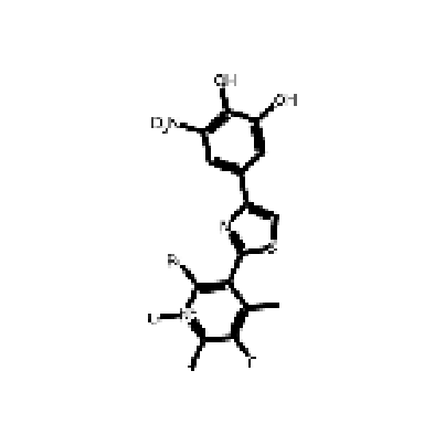 Cc1c(Cl)c(C)[n+]([O-])c(Br)c1-c1nc(-c2cc(O)c(O)c([N+](=O)[O-])c2)cs1